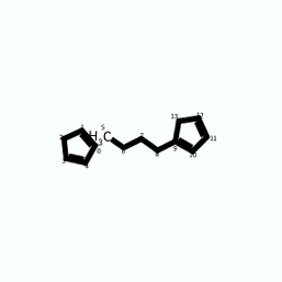 C1=CCC=C1.CCCCC1=CC=CC1